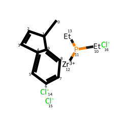 CC1C=Cc2ccccc21.CC[P]([Zr+3])CC.[Cl-].[Cl-].[Cl-]